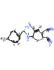 Cc1ccc(CNC2CC(C#N)=C(C#N)C=C2N)cc1